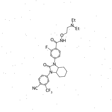 CCN(CC)CCONC(=O)c1ccc(N2C(=O)N(c3ccc(C#N)c(C(F)(F)F)c3)C3CCCCC32)cc1F